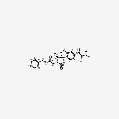 CNC(=O)Nc1ccc2c(c1)CC[C@@]21OC(=O)N(CC(=O)OCc2ccccc2)C1=O